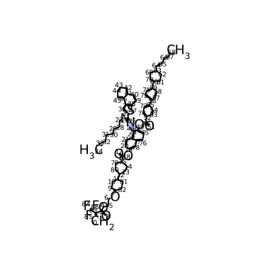 C=C(C(=O)OCCOC1CCC(C2CCC(C(=O)Oc3ccc4c(/C=N/N(CCCCCCCC)c5cc6c(ccc7ccccc76)s5)c(OC(=O)c5ccc(-c6ccc(C7CCC(CCCCC)CC7)cc6)cc5)ccc4c3)CC2)CC1)C(F)(F)F